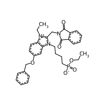 CCOP(=O)([O-])CCCCn1c(CN2C(=O)c3ccccc3C2=O)[n+](CC)c2ccc(OCc3ccccc3)cc21